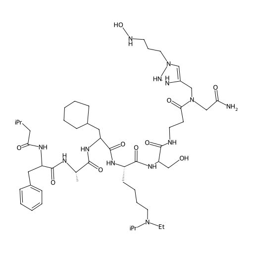 CCN(CCCC[C@H](NC(=O)C(CC1CCCCC1)NC(=O)[C@H](C)NC(=O)C(Cc1ccccc1)NC(=O)CC(C)C)C(=O)NC(CO)C(=O)NCCC(=O)N(CC(N)=O)CC1=CN(CCCNO)NN1)C(C)C